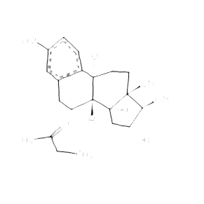 CCC(=O)O.C[C@]12CC[C@@H]3c4ccc(O)cc4CC[C@H]3[C@@H]1C[C@@H](O)[C@@H]2O